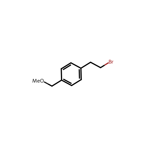 COCc1ccc(CCBr)cc1